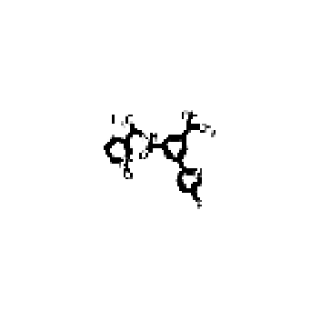 CC(NC(=O)c1cc(-c2ccc(F)cn2)cc(C(O)C(F)(F)F)c1)c1ccc[n+]([O-])c1